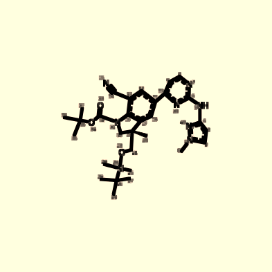 Cn1ccc(Nc2nccc(-c3cc(C#N)c4c(c3)[C@](C)(CO[Si](C)(C)C(C)(C)C)CN4C(=O)OC(C)(C)C)n2)n1